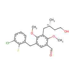 COc1c(C=O)cc(Cc2cccc(Cl)c2F)c(OC)c1C[C@H](C)CCO